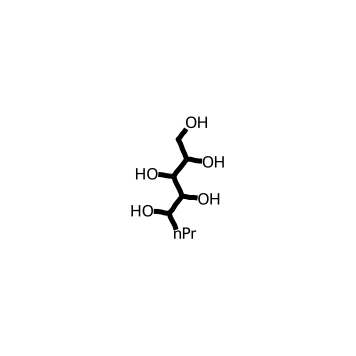 CCCC(O)C(O)C(O)C(O)CO